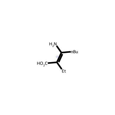 CCCC/C(N)=C(\CC)C(=O)O